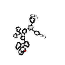 Cc1ccc(-c2nc(-c3ccc(C)cc3)nc(-c3ccc4c(c3)-c3cc(-c5cccc6c5-c5ccccc5C65C6CC7CC(C6)CC5C7)ccc3C4(c3ccccc3)c3ccccc3)n2)cc1